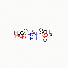 CC(CCCCNC(=S)NCCCCC(C)(C(=O)Oc1ccccc1)c1ccccc1)(C(=O)O)c1ccccc1